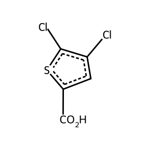 O=C(O)c1cc(Cl)c(Cl)s1